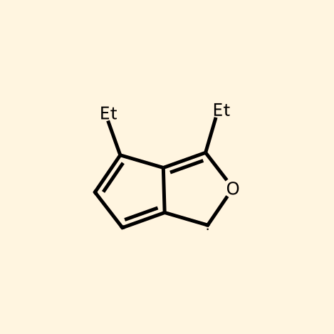 CCC1=CC=C2[CH]OC(CC)=C21